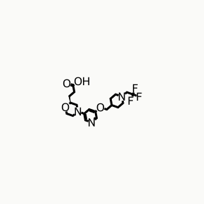 O=C(O)CC[C@H]1CN(c2cncc(OCC3CCN(CC(F)(F)F)CC3)c2)CCO1